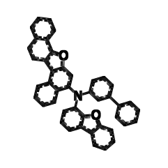 c1ccc(-c2cccc(N(c3cc4oc5c6ccccc6ccc5c4c4ccccc34)c3cccc4c3oc3ccccc34)c2)cc1